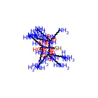 N=C(N)NCCCCCCNC(=O)CCC(CCO)(CCC(=O)NCCCCCCN)NC(=O)CCC(CCC(=O)NC(CCC(=O)NCCCCCCN)(CCC(=O)NCCCCCCNC(=N)N)CCC(=O)NCCCCCCNC(=N)N)(CCC(=O)NC(CCC(=O)NCCCCCCNN)(CCC(=O)NCCCCCCNC(=N)N)CCC(=O)NCCCCCCNC(=N)N)NC(=O)CCS